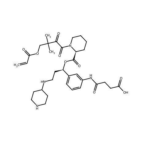 C=CC(=O)OCC(C)(C)C(=O)C(=O)N1CCCC[C@H]1C(=O)O[C@H](CCNC1CCNCC1)c1cccc(NC(=O)CCC(=O)O)c1